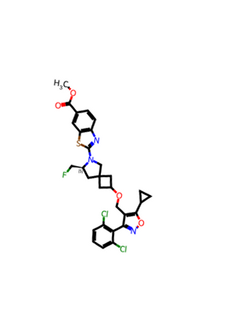 COC(=O)c1ccc2nc(N3CC4(CC(OCc5c(-c6c(Cl)cccc6Cl)noc5C5CC5)C4)C[C@H]3CF)sc2c1